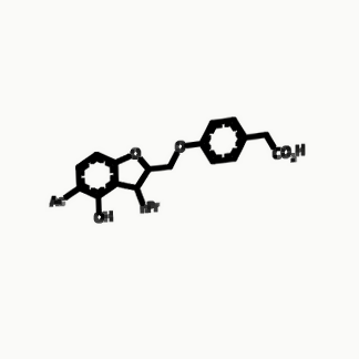 CCCC1c2c(ccc(C(C)=O)c2O)OC1COc1ccc(CC(=O)O)cc1